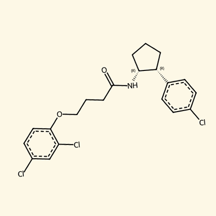 O=C(CCCOc1ccc(Cl)cc1Cl)N[C@@H]1CCC[C@@H]1c1ccc(Cl)cc1